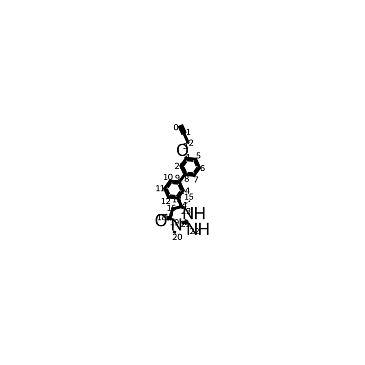 C#CCOc1cccc(-c2cccc([C@]3(C)CC(=O)N(C)C(=N)N3)c2)c1